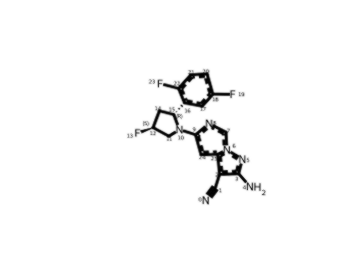 N#Cc1c(N)nn2cnc(N3C[C@@H](F)C[C@@H]3c3cc(F)ccc3F)cc12